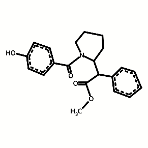 COC(=O)C(c1ccccc1)C1CCCCN1C(=O)c1ccc(O)cc1